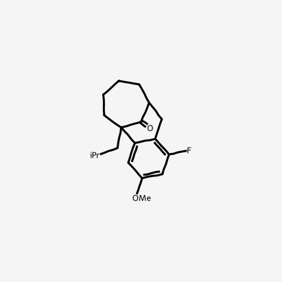 COc1cc(F)c2c(c1)C1(CC(C)C)CCCCC(C2)C1=O